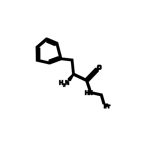 CC(C)CNC(=O)[C@@H](N)Cc1ccccc1